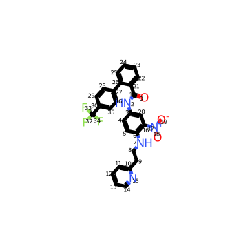 O=C(Nc1ccc(NCCc2ccccn2)c([N+](=O)[O-])c1)c1ccccc1-c1ccc(C(F)(F)F)cc1